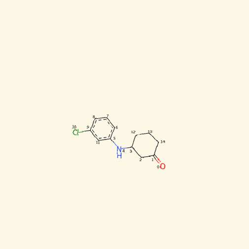 O=C1[CH]C(Nc2cccc(Cl)c2)CCC1